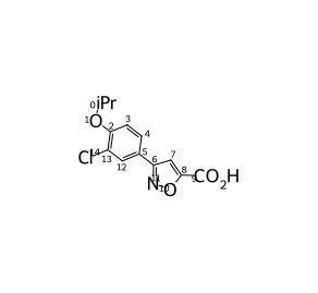 CC(C)Oc1ccc(-c2cc(C(=O)O)on2)cc1Cl